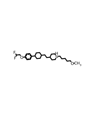 COCCCCC[SiH]1CCC(CCC2CCC(c3ccc(OCC(F)F)cc3)CC2)CC1